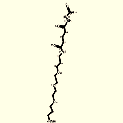 CNCCCOCCOCCOCCCNC(=O)CCCC(=O)NNC(=O)I